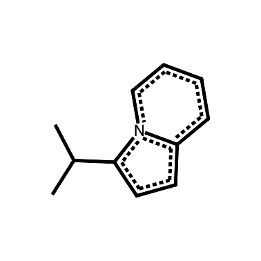 CC(C)c1ccc2ccccn12